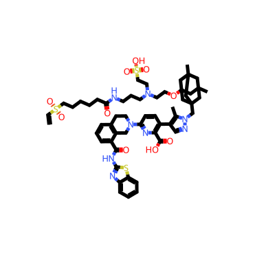 C=CS(=O)(=O)CCCCCC(=O)NCCCN(CCOC12CC3(C)CC(C)(CC(Cn4ncc(-c5ccc(N6CCc7cccc(C(=O)Nc8nc9ccccc9s8)c7C6)nc5C(=O)O)c4C)(C3)C1)C2)CCS(=O)(=O)O